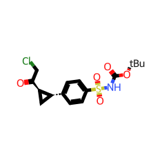 CC(C)(C)OC(=O)NS(=O)(=O)c1ccc([C@@H]2C[C@H]2C(=O)CCl)cc1